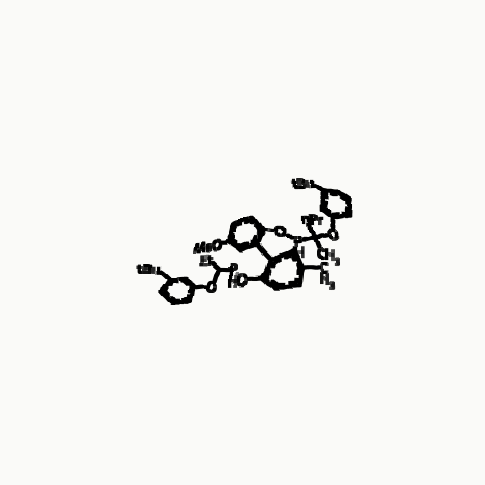 CCCC(C)(Oc1cccc(C(C)(C)C)c1)POc1ccc(OC)cc1-c1cc(C)ccc1OPC(CC)Oc1cccc(C(C)(C)C)c1